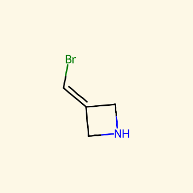 BrC=C1CNC1